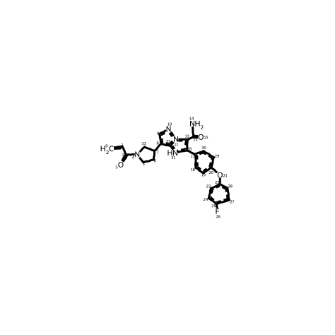 C=CC(=O)N1CCC(c2cnn3c(C(N)=O)c(-c4ccc(Oc5ccc(F)cc5)cc4)[nH]c23)C1